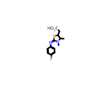 CC1C(CC(=O)O)SC(=Nc2ccc(F)cc2)N1C